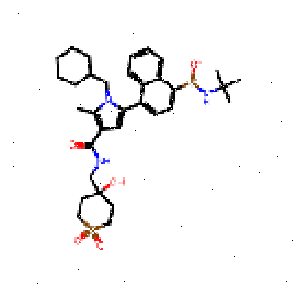 Cc1c(C(=O)NCC2(O)CCS(=O)(=O)CC2)cc(-c2ccc([S+]([O-])NC(C)(C)C)c3ccccc23)n1CC1CCCCC1